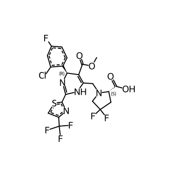 COC(=O)C1=C(CN2CC(F)(F)C[C@H]2C(=O)O)NC(c2nc(C(F)(F)F)cs2)=N[C@H]1c1ccc(F)cc1Cl